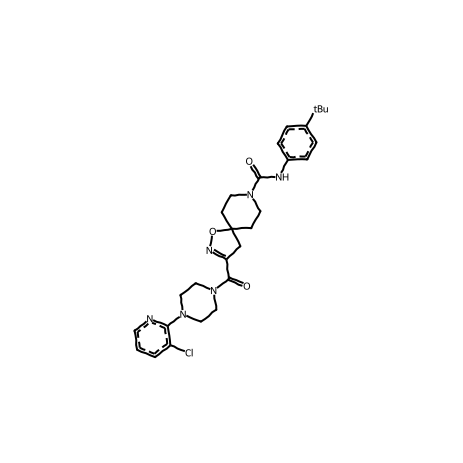 CC(C)(C)c1ccc(NC(=O)N2CCC3(CC2)CC(C(=O)N2CCN(c4ncccc4Cl)CC2)=NO3)cc1